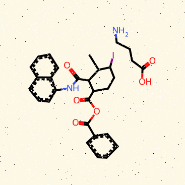 CC1C(I)CCC(C(=O)OC(=O)c2ccccc2)C1C(=O)Nc1cccc2ccccc12.NCCCC(=O)O